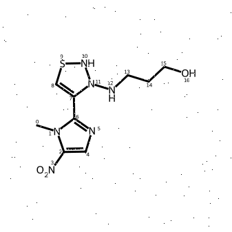 Cn1c([N+](=O)[O-])cnc1C1=CSNN1NCCCO